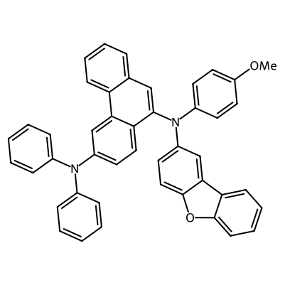 COc1ccc(N(c2ccc3oc4ccccc4c3c2)c2cc3ccccc3c3cc(N(c4ccccc4)c4ccccc4)ccc23)cc1